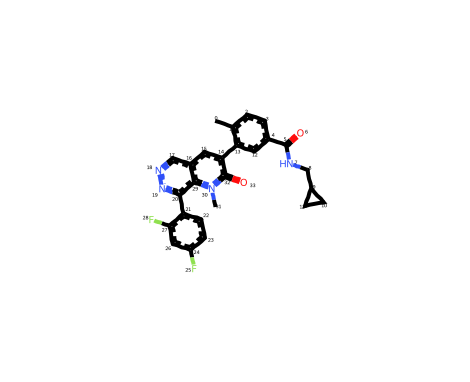 Cc1ccc(C(=O)NCC2CC2)cc1-c1cc2cnnc(-c3ccc(F)cc3F)c2n(C)c1=O